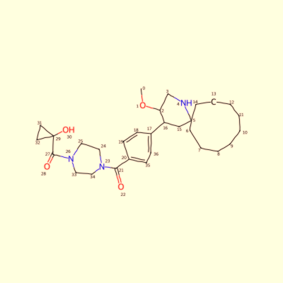 COC1CNC2(CCCCCCCCC2)CC1c1ccc(C(=O)N2CCN(C(=O)C3(O)CC3)CC2)cc1